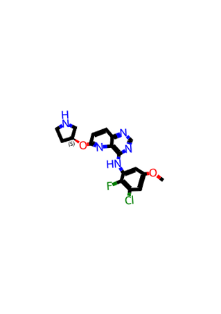 COc1cc(Cl)c(F)c(Nc2ncnc3ccc(O[C@H]4CCNC4)nc23)c1